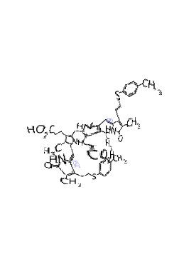 CC1=C(CCSc2ccc(C)cc2)/C(=C/c2[nH]c(Cc3[nH]c(/C=C4\NC(=O)C(C)=C4CCSc4ccc(C)cc4)c(C)c3CCC(=O)O)c(CCC(=O)O)c2C)NC1=O